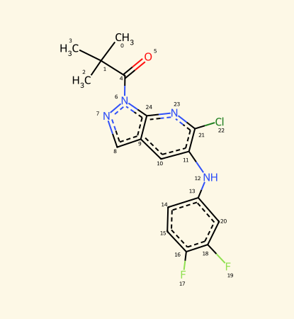 CC(C)(C)C(=O)n1ncc2cc(Nc3ccc(F)c(F)c3)c(Cl)nc21